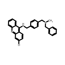 CN(Cc1ccccc1)Cc1ccc(CNc2c3ccccc3nc3cc(Cl)ccc23)cc1